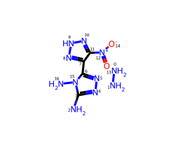 NN.Nc1nnc(-c2n[nH]nc2[N+](=O)[O-])n1N